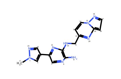 Cn1cc(-c2cnc(N)c(NCc3ccn4nccc4n3)n2)cn1